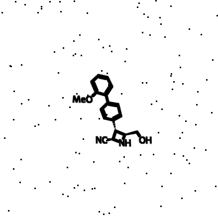 COc1ccccc1-c1ccc([C@H]2[C@H](C#N)N[C@@H]2CO)cc1